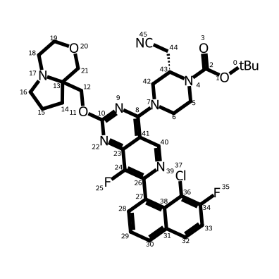 CC(C)(C)OC(=O)N1CCN(c2nc(OCC34CCCN3CCOC4)nc3c(F)c(-c4cccc5ccc(F)c(Cl)c45)ncc23)C[C@@H]1CC#N